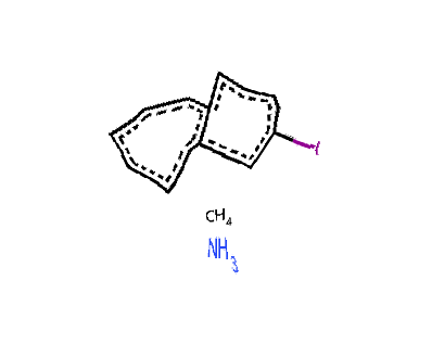 C.Ic1ccc2ccccc2c1.N